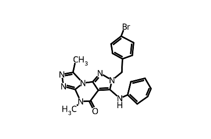 Cc1nnc2n(C)c(=O)c3c(Nc4ccccc4)n(Cc4ccc(Br)cc4)nc3n12